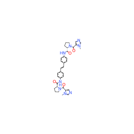 Cn1cncc1C(=O)N1CCC[C@H]1C(=O)Nc1ccc(/C=C/c2ccc(NC(=O)[C@@H]3CCCN3C(=O)c3cncn3C)cc2)cc1